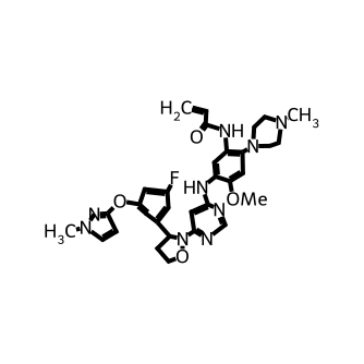 C=CC(=O)Nc1cc(Nc2cc(N3OCCC3c3cc(F)cc(Oc4ccn(C)n4)c3)ncn2)c(OC)cc1N1CCN(C)CC1